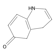 O=C1C=CC2=C(CC=CN2)C1